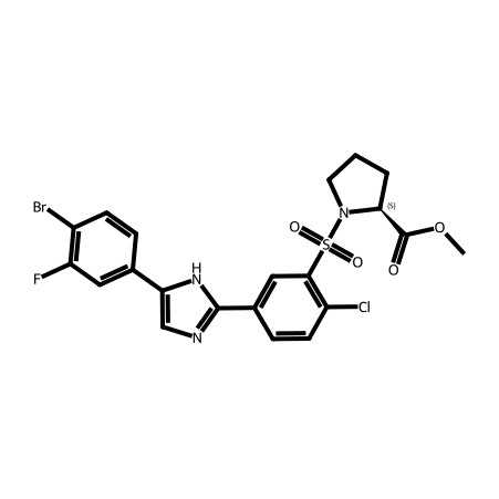 COC(=O)[C@@H]1CCCN1S(=O)(=O)c1cc(-c2ncc(-c3ccc(Br)c(F)c3)[nH]2)ccc1Cl